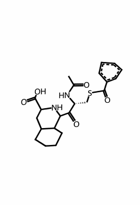 CC(=O)N[C@H](CSC(=O)c1ccccc1)C(=O)C1NC(C(=O)O)CC2CCCCC21